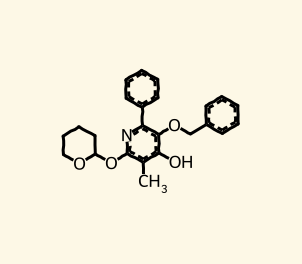 Cc1c(OC2CCCCO2)nc(-c2ccccc2)c(OCc2ccccc2)c1O